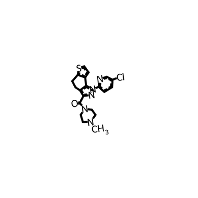 CN1CCN(C(=O)c2nn(-c3ccc(Cl)cn3)c3c2CCc2sccc2-3)CC1